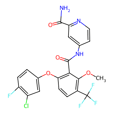 COc1c(C(F)(F)F)ccc(Oc2ccc(F)c(Cl)c2)c1C(=O)Nc1ccnc(C(N)=O)c1